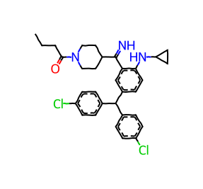 CCCC(=O)N1CCC(C(=N)c2cc(C(c3ccc(Cl)cc3)c3ccc(Cl)cc3)ccc2NC2CC2)CC1